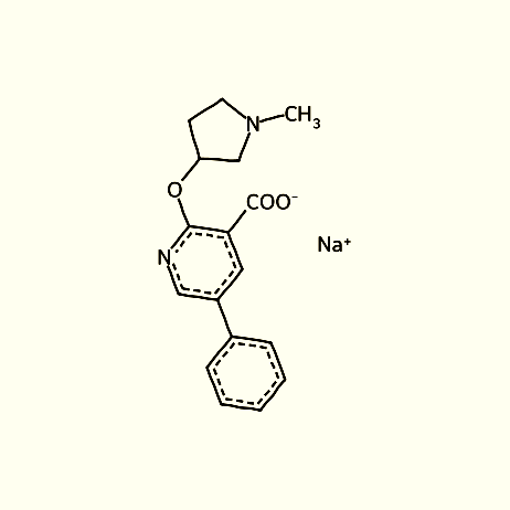 CN1CCC(Oc2ncc(-c3ccccc3)cc2C(=O)[O-])C1.[Na+]